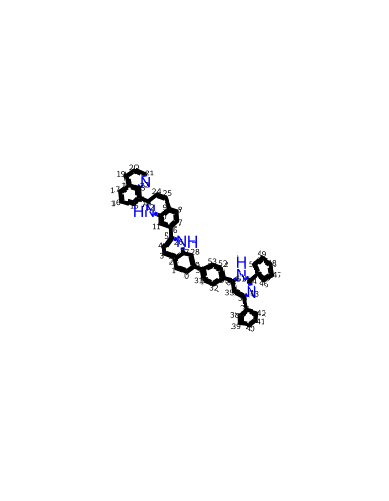 C1=CC2=CC=C(c3ccc4c(c3)NC(c3cccc5cccnc35)C=C4)NC2C=C1c1ccc(C2C=C(c3ccccc3)N=C(c3ccccc3)N2)cc1